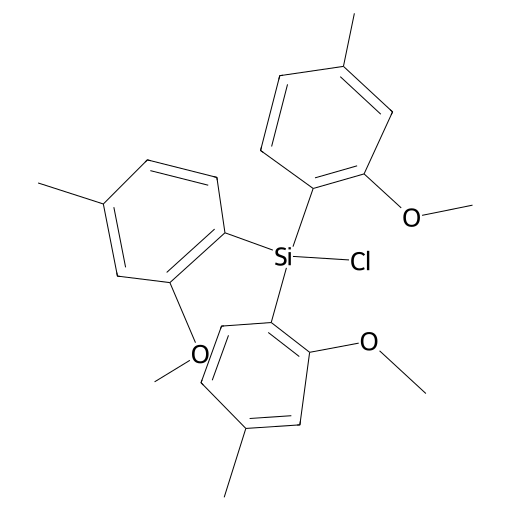 COc1cc(C)ccc1[Si](Cl)(c1ccc(C)cc1OC)c1ccc(C)cc1OC